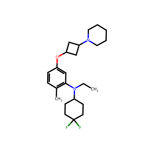 CCN(c1cc(OC2CC(N3CCCCC3)C2)ccc1C)C1CCC(F)(F)CC1